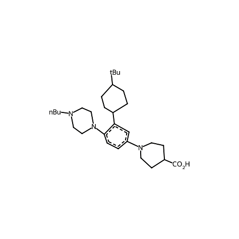 CCCCN1CCN(c2ccc(N3CCC(C(=O)O)CC3)cc2C2CCC(C(C)(C)C)CC2)CC1